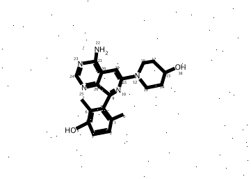 Cc1ccc(O)c(C)c1-c1nc(N2CCC(O)CC2)cc2c(N)ncnc12